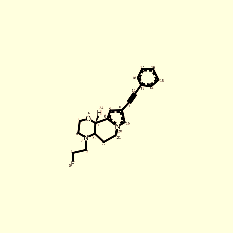 FCCN1CCO[C@@H]2c3cc(C#Cc4ccccc4)cn3CCC21